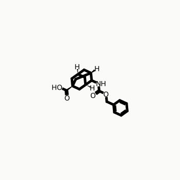 O=C(NC1[C@@H]2C[C@@H]3C[C@H]1C[C@@](C(=O)O)(C3)C2)OCc1ccccc1